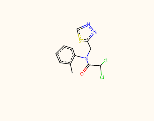 Cc1ccccc1N(Cc1nncs1)C(=O)C(Cl)Cl